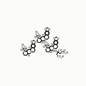 CS(=O)(=O)N1CCC[C@@H]2CN3CCc4cc5c(cc4[C@@H]3C[C@@H]21)OCO5.CS(=O)(=O)N1CCC[C@@H]2CN3CCc4cc5c(cc4[C@@H]3C[C@@H]21)OCO5.CS(=O)(=O)N1CCC[C@@H]2CN3CCc4cc5c(cc4[C@@H]3C[C@@H]21)OCO5.O=C(O)CC(O)(CC(=O)O)C(=O)O